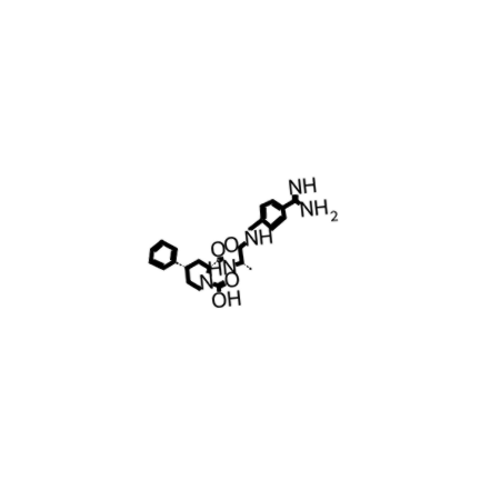 C[C@H](NC(=O)[C@H]1C[C@@H](c2ccccc2)CCN1C(=O)O)C(=O)NCc1ccc(C(=N)N)cc1